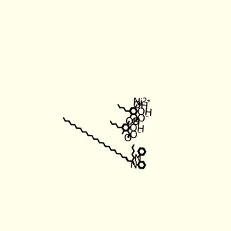 CCCCCCCCCCCCCCCCCCCCCCC=CC(=Nc1ccccc1)C(CCCC)=Nc1ccccc1.CCCCc1cc(O)c(O)c(C(=O)[O-])c1C.CCCCc1cc(O)c(O)c(C(=O)[O-])c1C.[Ni+2]